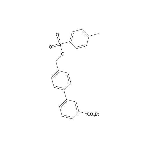 CCOC(=O)c1cccc(-c2ccc(COS(=O)(=O)c3ccc(C)cc3)cc2)c1